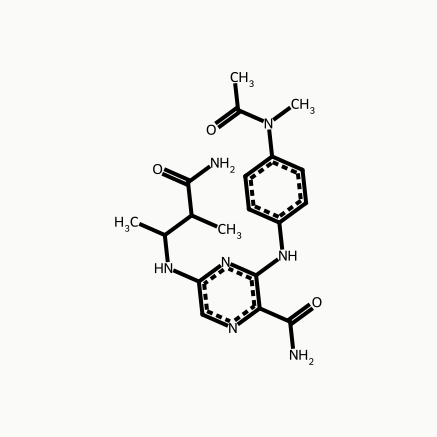 CC(=O)N(C)c1ccc(Nc2nc(NC(C)C(C)C(N)=O)cnc2C(N)=O)cc1